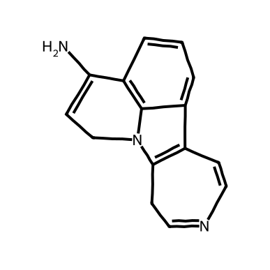 NC1=CCn2c3c(c4cccc1c42)C=CN=CC3